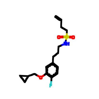 C=CCCS(=O)(=O)NCCCc1ccc(F)c(OCC2CC2)c1